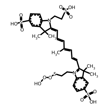 CC(/C=C/C=C1/N(CCS(=O)(=O)O)c2ccc(S(=O)(=O)O)cc2C1(C)C)=C\C=C\C1=[N+](CCSOOO)c2ccc(S(=O)(=O)O)cc2C1(C)C